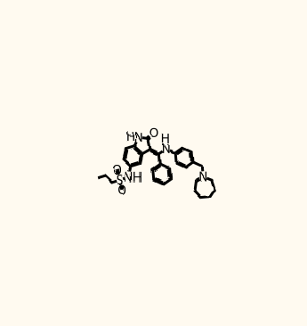 CCCS(=O)(=O)Nc1ccc2c(c1)/C(=C(/Nc1ccc(CN3CCCCCC3)cc1)c1ccccc1)C(=O)N2